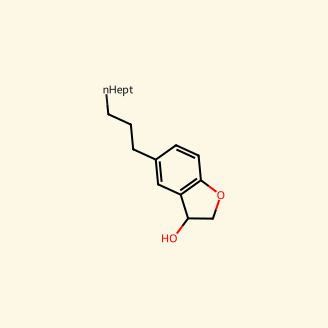 CCCCCCCCCCc1ccc2c(c1)C(O)CO2